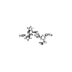 COc1cc(C(=O)N(C)C)cc(-n2cnc(Nc3nc(N4CCCC4CO)nn4cccc34)c2)c1